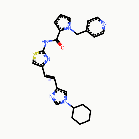 O=C(Nc1nc(/C=C/c2cn(C3CCCCC3)cn2)cs1)c1cccn1Cc1ccncc1